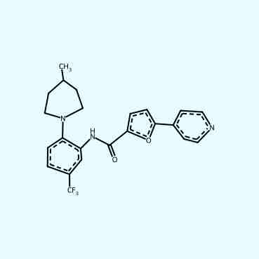 CC1CCN(c2ccc(C(F)(F)F)cc2NC(=O)c2ccc(-c3ccncc3)o2)CC1